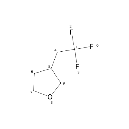 FC(F)(F)CC1CCOC1